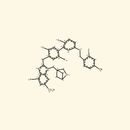 N#Cc1ccc(COc2ccc(F)c(-c3cc(F)c(Cc4nc5c(F)cc(C(=O)O)cc5n4CC45COC(C4)C5)cc3F)n2)c(F)c1